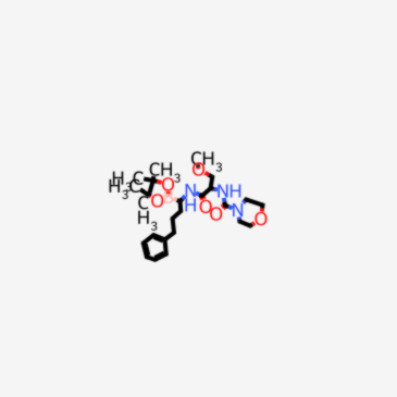 COCC(NC(=O)N1CCOCC1)C(=O)NC(CCCc1ccccc1)B1OC(C)(C)C(C)(C)O1